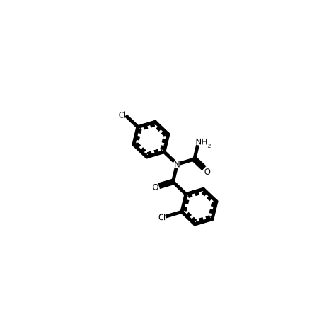 NC(=O)N(C(=O)c1ccccc1Cl)c1ccc(Cl)cc1